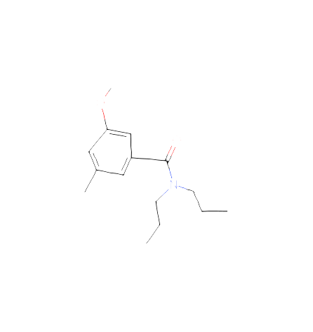 CCCN(CCC)C(=O)c1cc(C)cc(OC)c1